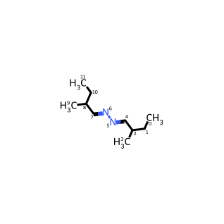 CCC(C)C=NN=CC(C)CC